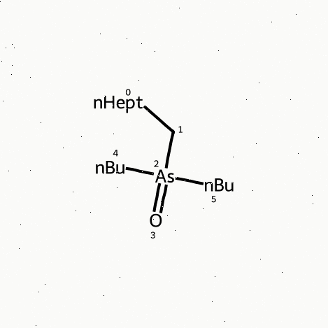 CCCCCCCC[As](=O)(CCCC)CCCC